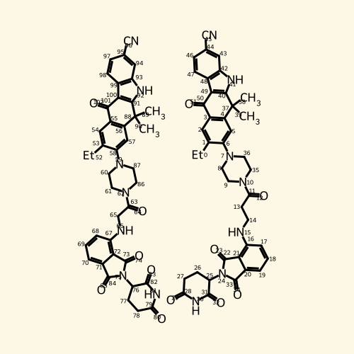 CCc1cc2c(cc1N1CCN(C(=O)CCNc3cccc4c3C(=O)N(C3CCC(=O)NC3=O)C4=O)CC1)C(C)(C)c1[nH]c3cc(C#N)ccc3c1C2=O.CCc1cc2c(cc1N1CCN(C(=O)CNc3cccc4c3C(=O)N(C3CCC(=O)NC3=O)C4=O)CC1)C(C)(C)c1[nH]c3cc(C#N)ccc3c1C2=O